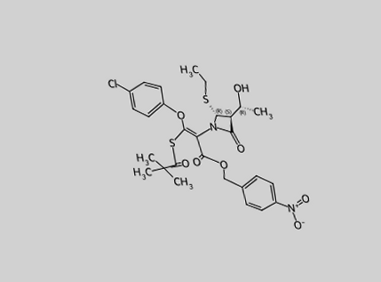 CCS[C@@H]1[C@@H]([C@@H](C)O)C(=O)N1C(C(=O)OCc1ccc([N+](=O)[O-])cc1)=C(Oc1ccc(Cl)cc1)SC(=O)C(C)(C)C